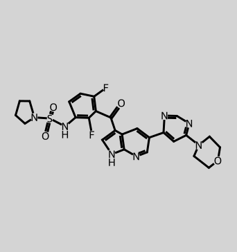 O=C(c1c(F)ccc(NS(=O)(=O)N2CCCC2)c1F)c1c[nH]c2ncc(-c3cc(N4CCOCC4)ncn3)cc12